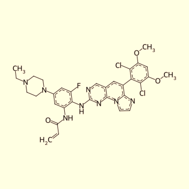 C=CC(=O)Nc1cc(N2CCN(CC)CC2)cc(F)c1Nc1ncc2cc(-c3c(Cl)c(OC)cc(OC)c3Cl)c3nccn3c2n1